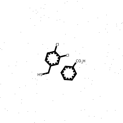 O=C(O)c1ccccc1.SCc1ccc(Cl)c(Cl)c1